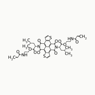 C=CC(=O)NCCOC(=O)C(CC(C)C)N1C(=O)c2c3ccsc3c3c4c(c5ccsc5c(c24)C1=O)C(=O)N(C(CC(C)C)C(=O)OCCNC(=O)C=C)C3=O